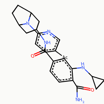 CC(=O)c1ccc(N2C3CCC2CC(NC(=O)c2ccc(C(N)=O)c(NC4CC4)c2)C3)nc1